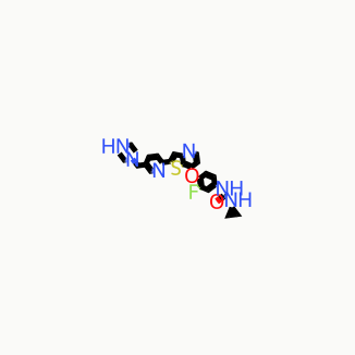 O=C(Nc1ccc(Oc2ccnc3cc(-c4ccc(CN5CCNCC5)cn4)sc23)c(F)c1)NC1CC1